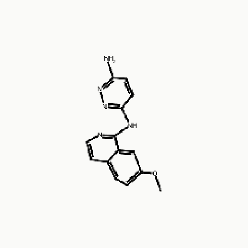 COc1ccc2ccnc(Nc3ccc(N)nn3)c2c1